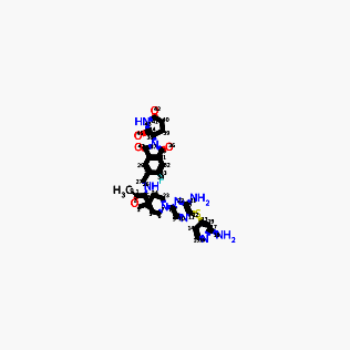 C[C@@H]1OCC2(CCN(c3cnc(Sc4ccnc(N)c4)c(N)n3)CC2)[C@@H]1NCc1cc2c(cc1F)C(=O)N(C1CCC(=O)NC1=O)C2=O